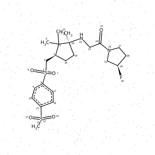 CC1(C)[C@H](CS(=O)(=O)c2ccc(S(C)(=O)=O)cc2)CC[C@]1(C)NCC(=O)N1CC[C@@H](F)C1